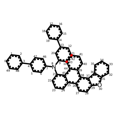 c1ccc(-c2ccc(N(c3cccc(-c4ccccc4)c3)c3cccc4c5ccc6oc7ccccc7c6c5c5ccccc5c34)cc2)cc1